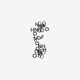 O=C(Nc1ccc(CN(Cc2ccc(NC(=O)[C@@H]3C[C@@H]4CCC[C@@H]4N3C(=O)[C@@H](c3ccccc3)N3CCCCC3)cc2)c2ccc(F)cc2)cc1)[C@@H]1C[C@@H]2CCC[C@@H]2N1C(=O)[C@@H](c1ccccc1)N1CCCCC1